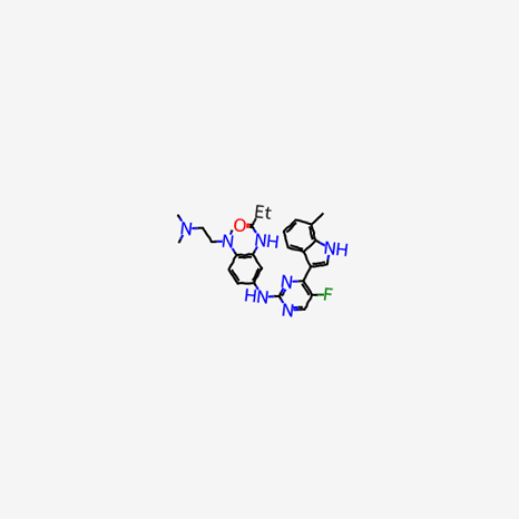 CCC(=O)Nc1cc(Nc2ncc(F)c(-c3c[nH]c4c(C)cccc34)n2)ccc1N(C)CCN(C)C